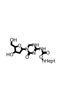 CCCCCCCOC(=O)NC1=NC(=O)N(C2CC(O)C(CO)O2)CN1